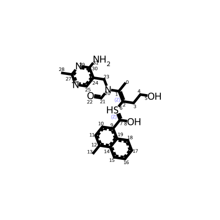 C/C(=C(CCO)/[SH]=C(\O)c1ccc(C)c2ccccc12)N(C=O)Cc1cnc(C)nc1N